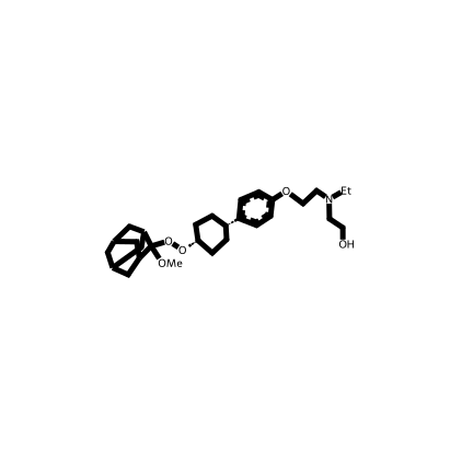 CCN(CCO)CCOc1ccc([C@H]2CC[C@@H](OOC3(OC)C4CC5CC(C4)CC3C5)CC2)cc1